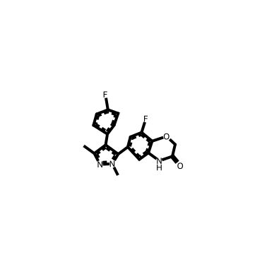 Cc1nn(C)c(-c2cc(F)c3c(c2)NC(=O)CO3)c1-c1ccc(F)cc1